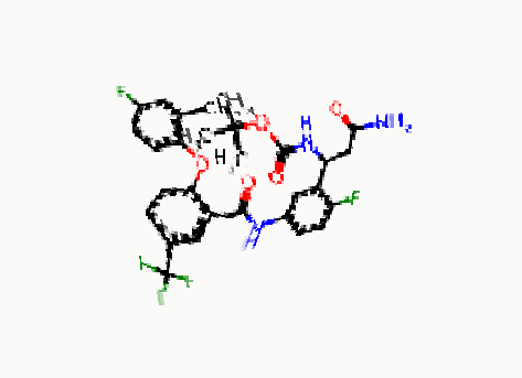 Cc1cc(F)ccc1Oc1ccc(C(F)(F)F)cc1C(=O)Nc1ccc(F)c(C(CC(N)=O)NC(=O)OC(C)(C)C)c1